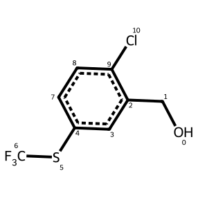 OCc1cc(SC(F)(F)F)ccc1Cl